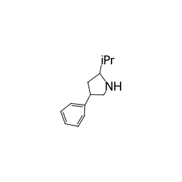 CC(C)C1CC(c2ccccc2)CN1